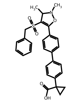 CC1C(S(=O)(=O)Cc2ccccc2)=C(c2ccc(-c3ccc(C4(C(=O)O)CC4)cc3)cc2)ON1C